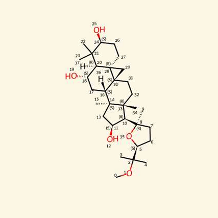 COC(C)(C)[C@@H]1CC[C@](C)([C@H]2[C@@H](O)C[C@@]3(C)[C@@H]4C[C@H](O)[C@H]5C(C)(C)[C@@H](O)CC[C@@]56C[C@@]46CC[C@]23C)O1